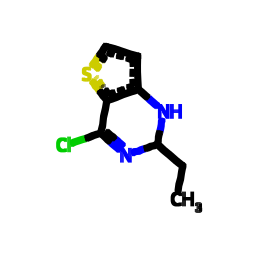 CCC1N=C(Cl)c2sccc2N1